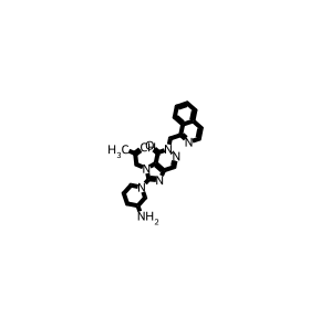 C=C(C)Cn1c(N2CCCC(N)C2)nc2cnn(Cc3nccc4ccccc34)c(=O)c21